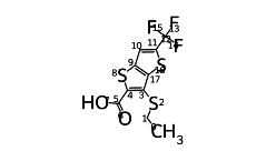 CCSc1c(C(=O)O)sc2cc(C(F)(F)F)sc12